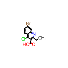 CCc1nc2cc(Br)ccc2c(Cl)c1C(=O)O